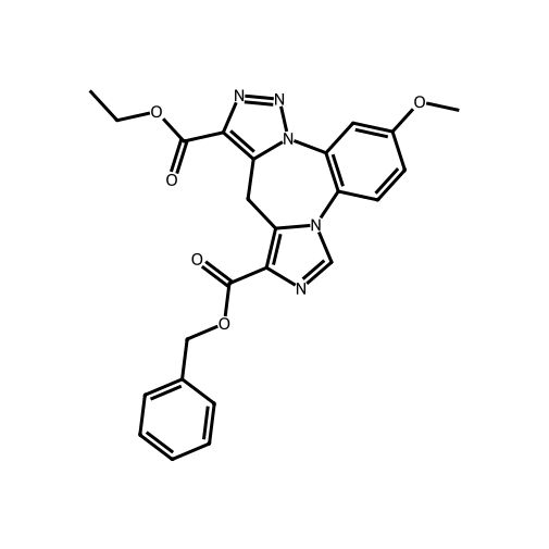 CCOC(=O)c1nnn2c1Cc1c(C(=O)OCc3ccccc3)ncn1-c1ccc(OC)cc1-2